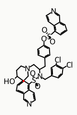 O=S(=O)(Oc1ccc(CC(CN2CCC(O)CC2)N(Cc2ccc(Cl)c(Cl)c2)S(=O)(=O)c2cccc3cnccc23)cc1)c1cccc2cnccc12